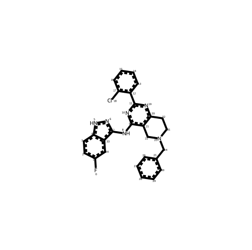 Fc1ccc2[nH]nc(Nc3nc(-c4ccccc4Cl)nc4c3CN(Cc3ccccc3)CC4)c2c1